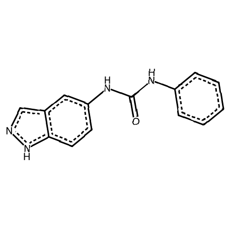 O=C(Nc1ccccc1)Nc1ccc2[nH]ncc2c1